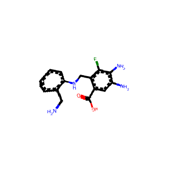 NCc1ccccc1NCc1c(C(=O)O)cc(N)c(N)c1F